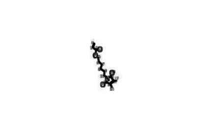 C=CC(=O)OCCCCCCN1C(=O)C(C)=C(C)C1=O